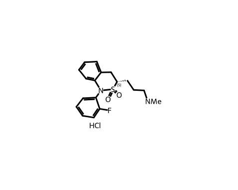 CNCCC[C@H]1Cc2ccccc2N(c2ccccc2F)S1(=O)=O.Cl